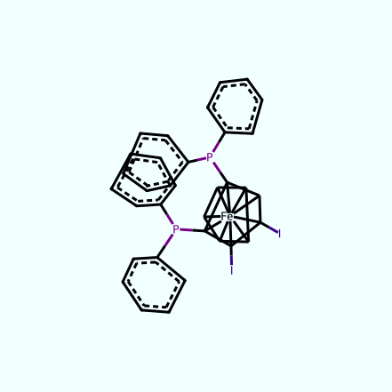 I[C]12[CH]3[C]4(P(c5ccccc5)c5ccccc5)[C]5(P(c6ccccc6)c6ccccc6)[C]1(I)[Fe]32451678[CH]2[CH]1[CH]6[CH]7[CH]28